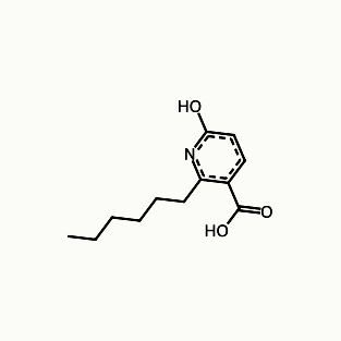 CCCCCCc1nc(O)ccc1C(=O)O